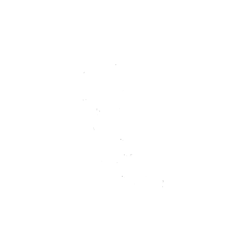 O=C(c1cc2ncc(Br)cn2n1)N1CCc2occc2C1